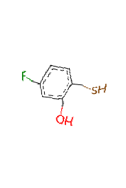 Oc1cc(F)ccc1S